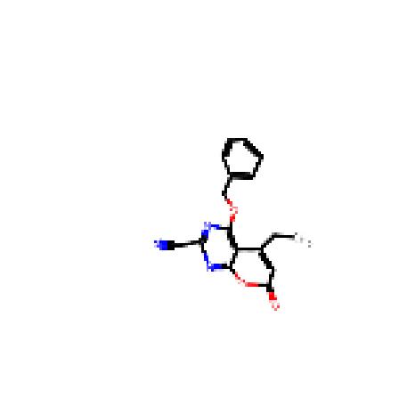 CCc1cc(=O)oc2nc(C#N)nc(OCc3ccccc3)c12